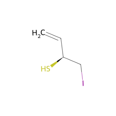 C=C[C@H](S)CI